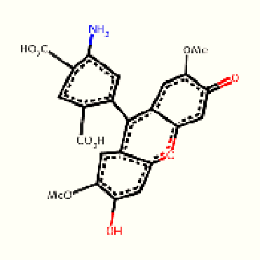 COc1cc2c(-c3cc(N)c(C(=O)O)cc3C(=O)O)c3cc(OC)c(=O)cc-3oc2cc1O